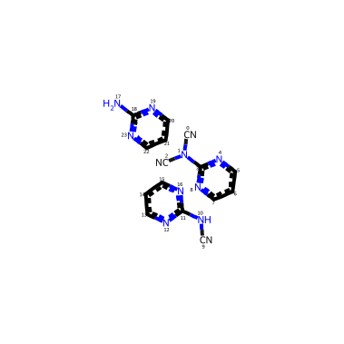 N#CN(C#N)c1ncccn1.N#CNc1ncccn1.Nc1ncccn1